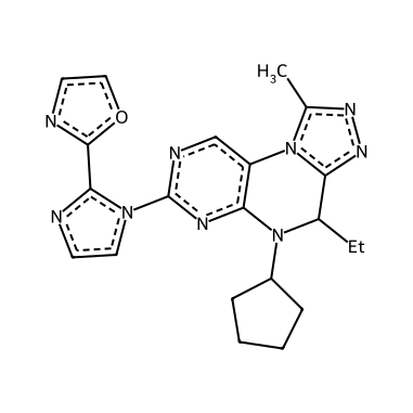 CCC1c2nnc(C)n2-c2cnc(-n3ccnc3-c3ncco3)nc2N1C1CCCC1